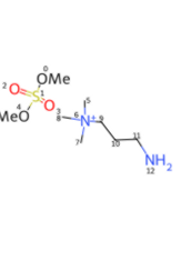 COS(=O)(=O)OC.C[N+](C)(C)CCCN